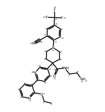 CCOc1ncccc1-c1ccc(C2(C(=O)NCCN)CCN(c3ccc(C(F)(F)F)cc3C#N)CC2)cn1